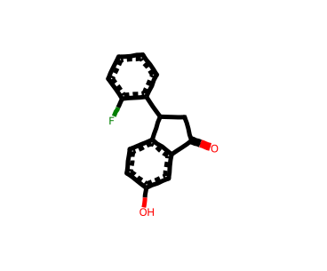 O=C1CC(c2ccccc2F)c2ccc(O)cc21